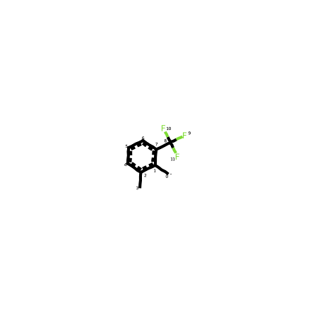 [CH2]c1c(C)cccc1C(F)(F)F